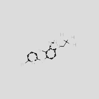 CC(C)(C)Cn1nnc2c(Br)c(Oc3cccc(Br)n3)ccc21